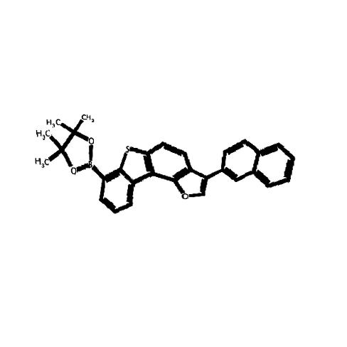 CC1(C)OB(c2cccc3c2sc2ccc4c(-c5ccc6ccccc6c5)coc4c23)OC1(C)C